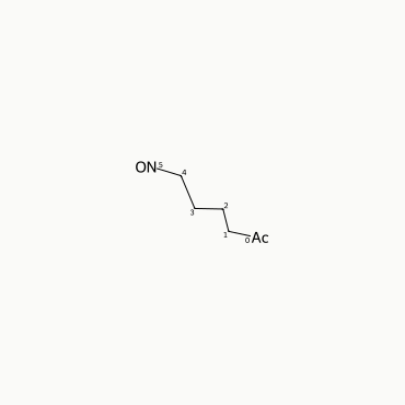 CC(=O)CCCCN=O